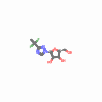 CC(F)(F)c1ncn([C@@H]2O[C@H](CO)C(O)C2O)n1